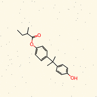 CCC(C)C(=O)Oc1ccc(C(C)(C)c2ccc(O)cc2)cc1